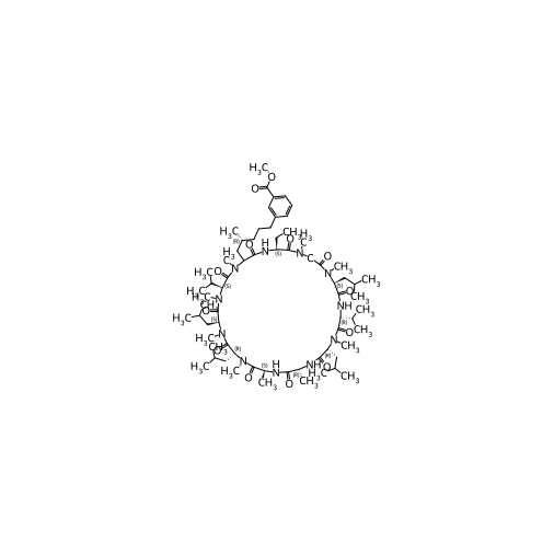 CC[C@@H]1NC(=O)C(C[C@H](C)CCCc2cccc(C(=O)OC)c2)N(C)C(=O)[C@H](C(C)C)N(C)C(=O)[C@H](CC(C)C)N(C)C(=O)[C@@H](CC(C)C)N(C)C(=O)[C@H](C)NC(=O)[C@@H](C)NC(=O)[C@@H](CC(C)C)N(C)C(=O)[C@@H](C(C)C)NC(=O)[C@H](CC(C)C)N(C)C(=O)CN(C)C1=O